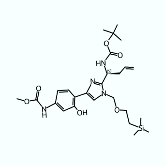 C=CC[C@H](NC(=O)OC(C)(C)C)c1nc(-c2ccc(NC(=O)OC)cc2O)cn1COCC[Si](C)(C)C